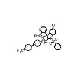 CCOc1ncccc1C1(C(=O)NN2CCN(C3CCN(C)CC3)CC2)C(=O)N(S(=O)(=O)c2ccccc2)c2ccc(Cl)cc21